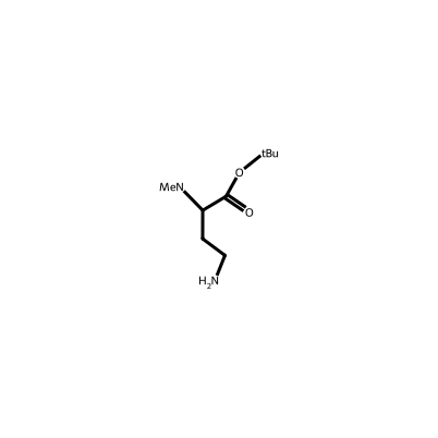 CNC(CCN)C(=O)OC(C)(C)C